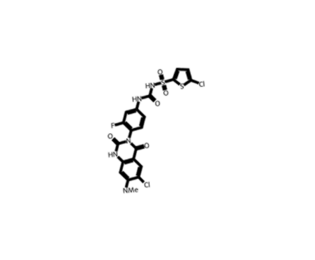 CNc1cc2[nH]c(=O)n(-c3ccc(NC(=O)NS(=O)(=O)c4ccc(Cl)s4)cc3F)c(=O)c2cc1Cl